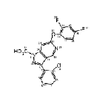 O=C(O)n1nc(-c2ccccc2Cl)c2cnc(Oc3ccc(F)cc3F)cc21